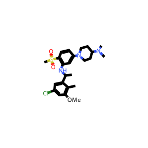 COc1cc(Cl)cc(C(C)Nc2cc(N3CCC(N(C)C)CC3)ccc2S(C)(=O)=O)c1C